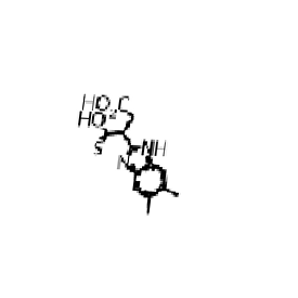 Cc1cc2nc(C(CC(=O)O)C(O)=S)[nH]c2cc1C